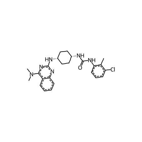 Cc1c(Cl)cccc1NC(=O)N[C@H]1CC[C@@H](Nc2nc(N(C)C)c3ccccc3n2)CC1